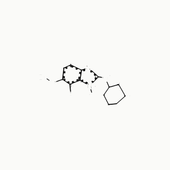 CCOc1ccc2nc(OC3CCCCC3)n(C)c2c1F